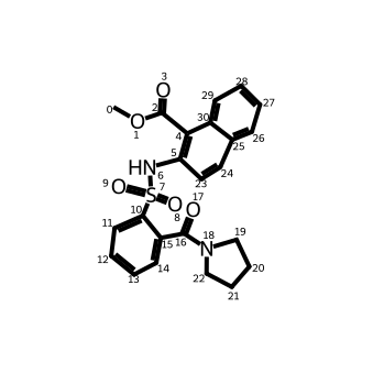 COC(=O)c1c(NS(=O)(=O)c2ccccc2C(=O)N2CCCC2)ccc2ccccc12